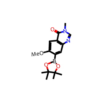 COc1cc2c(=O)n(C)cnc2cc1B1OC(C)(C)C(C)(C)O1